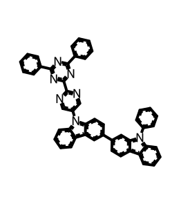 c1ccc(-c2nc(-c3ccccc3)nc(-c3ncc(-n4c5ccccc5c5cc(-c6ccc7c8ccccc8n(-c8ccccc8)c7c6)ccc54)cn3)n2)cc1